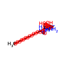 COCCOCCOCCOCCOCCOCCOCCOCCOCCOCCOCCOCCC(=O)NCCCC[C@H](NC(=O)CN1C(=O)C=CC1=O)C(=O)NCCC(=O)Nc1cc(C[N+]2(C)CCCC[C@@H]2C(N)=O)ccc1O[C@H]1C[C@@H](O)C[C@@H](C(=O)O)O1